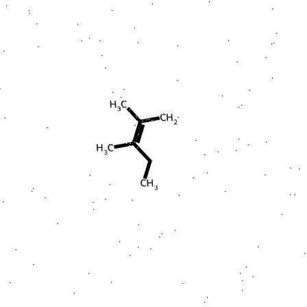 [CH2]C(C)=C(C)CC